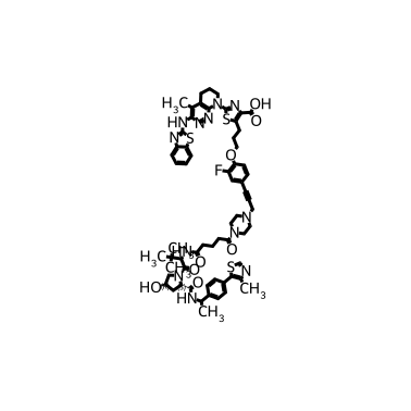 Cc1ncsc1-c1ccc(C(C)NC(=O)[C@@H]2C[C@@H](O)CN2C(=O)C(NC(=O)CCCC(=O)N2CCN(CC#Cc3ccc(OCCCc4sc(N5CCCc6c5nnc(Nc5nc7ccccc7s5)c6C)nc4C(=O)O)c(F)c3)CC2)C(C)(C)C)cc1